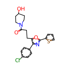 O=C(CCc1oc(-c2cccs2)nc1-c1ccc(Cl)cc1)N1CCC(O)CC1